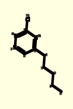 CCCCCc1cnnc(Cl)n1